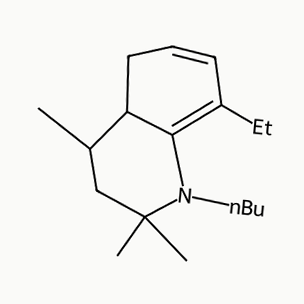 CCCCN1C2=C(CC)C=CCC2C(C)CC1(C)C